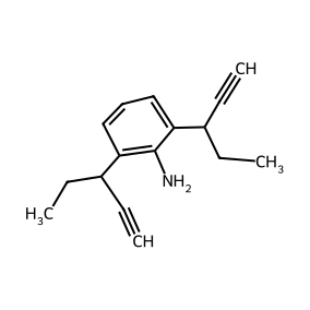 C#CC(CC)c1cccc(C(C#C)CC)c1N